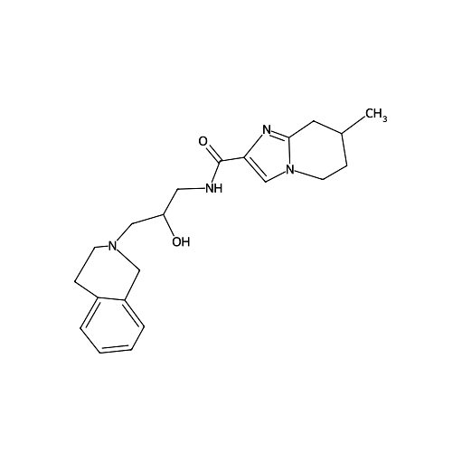 CC1CCn2cc(C(=O)NCC(O)CN3CCc4ccccc4C3)nc2C1